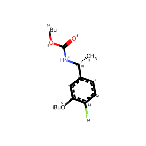 CC(C)COc1cc([C@@H](C)NC(=O)OC(C)(C)C)ccc1F